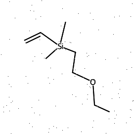 C=C[Si](C)(C)CCOCC